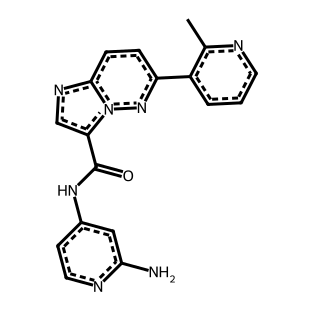 Cc1ncccc1-c1ccc2ncc(C(=O)Nc3ccnc(N)c3)n2n1